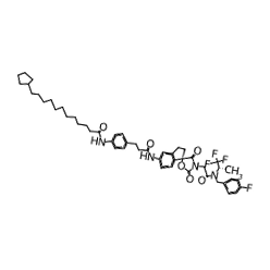 C[C@H](N(Cc1ccc(F)cc1)C(=O)CN1C(=O)O[C@@]2(CCc3cc(NC(=O)CCc4ccc(NC(=O)CCCCCCCCCCCC5CCCC5)cc4)ccc32)C1=O)C(F)(F)F